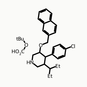 CC(C)(C)OC(=O)O.CCC(CC)C1CNCC(OCc2ccc3ccccc3c2)C1c1ccc(Cl)cc1